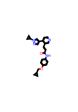 O=C(/C=C/c1cnccc1-c1cnn(C2CC2)c1)Nc1ccc(OCC2CC2)cc1